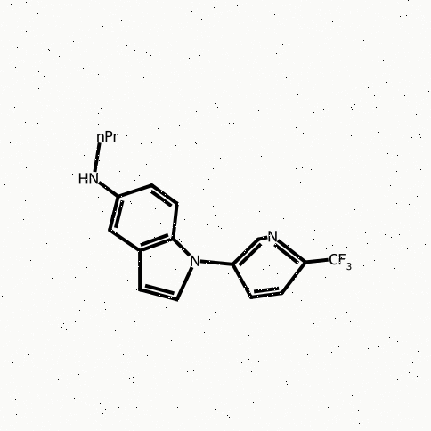 CCCNc1ccc2c(ccn2-c2ccc(C(F)(F)F)nc2)c1